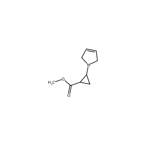 COC(=O)C1CC1N1CC=CC1